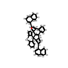 c1ccc2c(c1)Sc1ccccc1C21c2cc(-c3cccc4ccccc34)ccc2-c2c1c1ccc(-c3cccc4ccccc34)cc1c1ccccc21